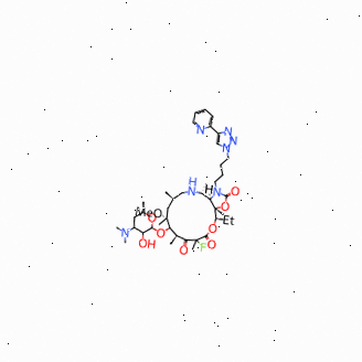 CC[C@H]1OC(=O)C(C)(F)C(=O)[C@@H](C)[C@@H](O[C@@H]2O[C@H](C)CC(N(C)C)C2O)[C@](C)(OC)C[C@@H](C)CN[C@H](C)[C@H]2N(CCCCn3cc(-c4ccccn4)nn3)C(=O)O[C@]12C